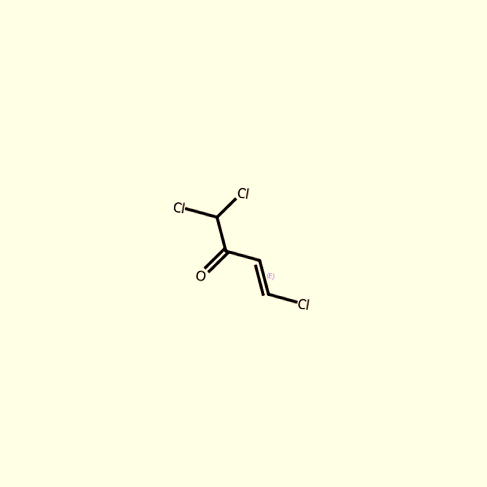 O=C(/C=C/Cl)C(Cl)Cl